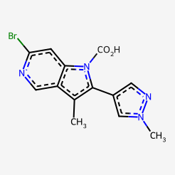 Cc1c(-c2cnn(C)c2)n(C(=O)O)c2cc(Br)ncc12